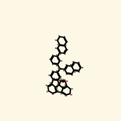 C1=Cc2ccc(-c3cccc(N(c4ccc5c(c4)C46C7=C(CCC=C75)C5=CCCC(=C54)c4ccccc46)c4ccc5ccccc5c4)c3)cc2CC1